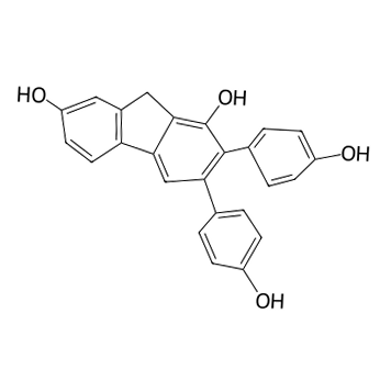 Oc1ccc(-c2cc3c(c(O)c2-c2ccc(O)cc2)Cc2cc(O)ccc2-3)cc1